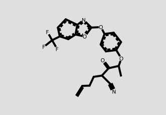 C=CCCC(C#N)C(=O)C(C)Oc1ccc(Oc2nc3ccc(C(F)(F)F)cc3o2)cc1